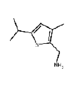 Cc1cc(C(C)C)sc1CN